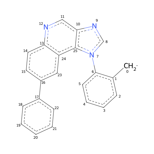 [CH2]c1ccccc1-n1cnc2cnc3ccc(-c4ccccc4)cc3c21